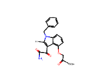 CCc1c(C(=O)C(N)=O)c2c(OCC(=O)OC)cccc2n1Cc1ccccc1